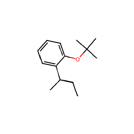 CCC(C)c1ccccc1OC(C)(C)C